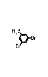 Bc1cc(Br)cc(Br)c1